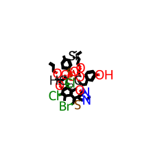 C=CCOCC(COS(=O)(=O)c1ccc(C)cc1)Oc1c(Cl)c(C)c(-c2c(Br)sc3ncnc(OC(Cc4cc(O)ccc4OCOCC[Si](C)(C)C)C(=O)O)c23)c(C)c1Cl